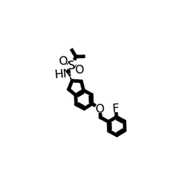 CC(C)S(=O)(=O)N[C@H]1Cc2ccc(OCc3ccccc3F)cc2C1